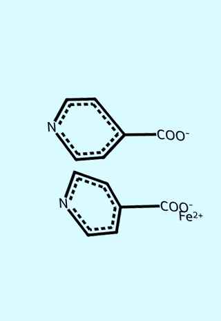 O=C([O-])c1ccncc1.O=C([O-])c1ccncc1.[Fe+2]